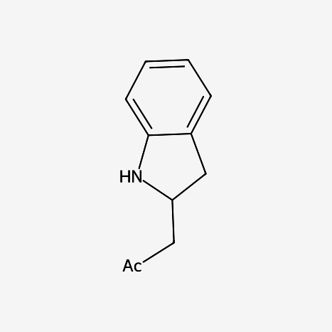 CC(=O)CC1Cc2ccccc2N1